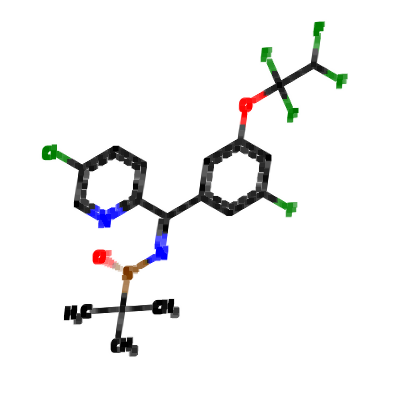 CC(C)(C)[S@+]([O-])N=C(c1cc(F)cc(OC(F)(F)C(F)F)c1)c1ccc(Cl)cn1